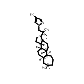 C[C@@]1(O)CCC[C@H]2[C@H](CC[C@@H]3[C@@H]2CC[C@@]2(C)[C@H]3CC[C@@H]2[C@](C)(O)Cn2cc(C#N)cn2)C1